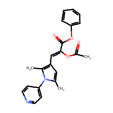 CC(=O)OC(=Cc1cc(C)n(-c2ccncc2)c1C)C(=O)Oc1ccccc1